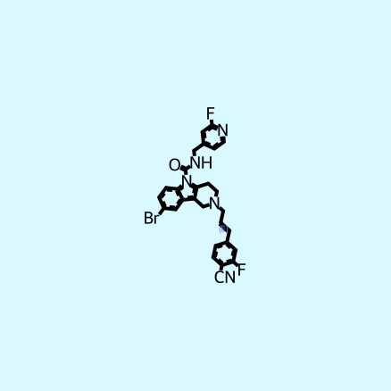 N#Cc1ccc(/C=C/CN2CCc3c(c4cc(Br)ccc4n3C(=O)NCc3ccnc(F)c3)C2)cc1F